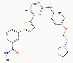 Cc1cnc(Nc2ccc(OCCN3CCCC3)cc2)nc1-c1ccc(-c2cccc(C(=O)NC(C)(C)C)c2)s1